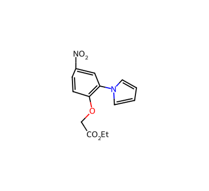 CCOC(=O)COc1ccc([N+](=O)[O-])cc1-n1cccc1